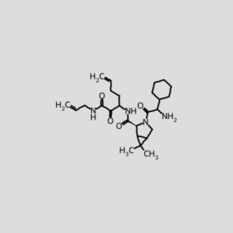 C=CCCC(NC(=O)[C@@H]1C2C(CN1C(=O)C(N)C1CCCCC1)C2(C)C)C(=O)C(=O)NCC=C